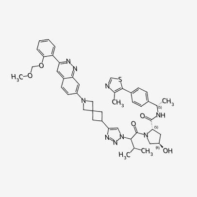 COCOc1ccccc1-c1cc2ccc(N3CC4(CC(c5cn(C(C(=O)N6C[C@H](O)C[C@H]6C(=O)N[C@@H](C)c6ccc(-c7scnc7C)cc6)C(C)C)nn5)C4)C3)cc2nn1